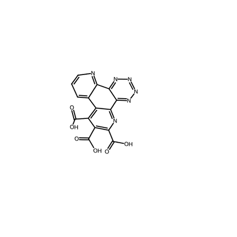 O=C(O)c1nc2c3nnnnc3c3ncccc3c2c(C(=O)O)c1C(=O)O